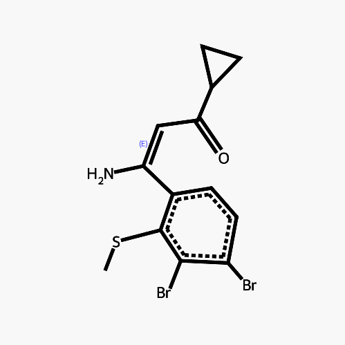 CSc1c(/C(N)=C\C(=O)C2CC2)ccc(Br)c1Br